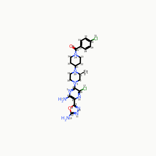 CC[C@H]1CN(c2nc(N)c(-c3nnc(N)o3)nc2Cl)CCN1C1CCN(C(=O)c2ccc(Cl)cc2)CC1